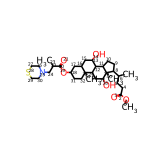 COC(=O)CCC(C)C1CCC2C3C(O)CC4CC(OC(=O)C(C)CN5CCSCC5)CCC4(C)C3CC(O)C12C